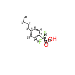 CCCCc1ccc(C(F)(F)C(=O)O)cc1